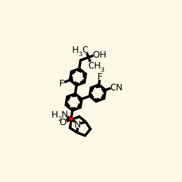 CC(C)(O)Cc1ccc(-c2ccc(C(=O)N3C4CCC3CC(N)C4)cc2-c2ccc(C#N)c(F)c2)c(F)c1